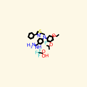 CCOc1cc(OC(C)C)c(F)c(N(Cc2nc(-c3ccccc3)cs2)c2ccc(C(=N)N)cc2)c1.O=C(O)C(F)(F)F